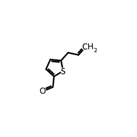 C=CCc1ccc(C=O)s1